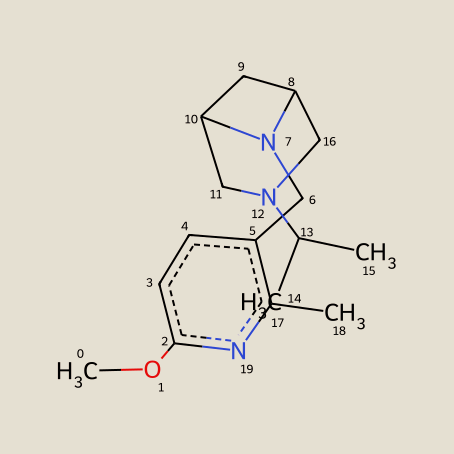 COc1ccc(CN2C3CC2CN(C(C)C)C3)c(C)n1